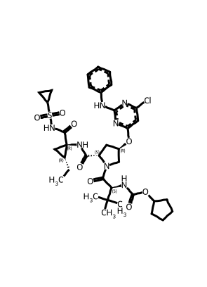 CC[C@@H]1C[C@]1(NC(=O)[C@@H]1C[C@@H](Oc2cc(Cl)nc(Nc3ccccc3)n2)CN1C(=O)[C@@H](NC(=O)OC1CCCC1)C(C)(C)C)C(=O)NS(=O)(=O)C1CC1